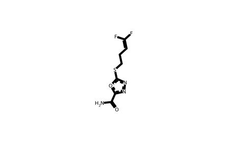 NC(=O)c1nnc(SCCC=C(F)F)o1